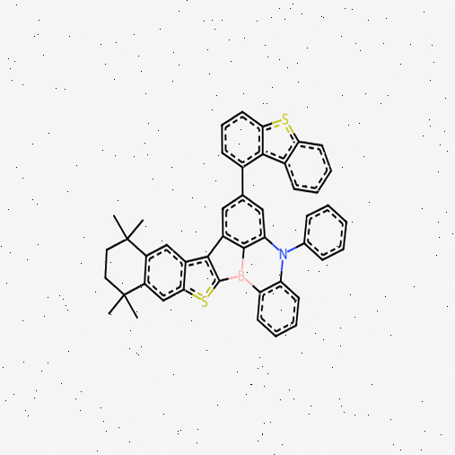 CC1(C)CCC(C)(C)c2cc3c4c(sc3cc21)B1c2ccccc2N(c2ccccc2)c2cc(-c3cccc5sc6ccccc6c35)cc-4c21